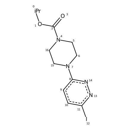 CC(C)OC(=O)N1CCN(c2ccc(I)nn2)CC1